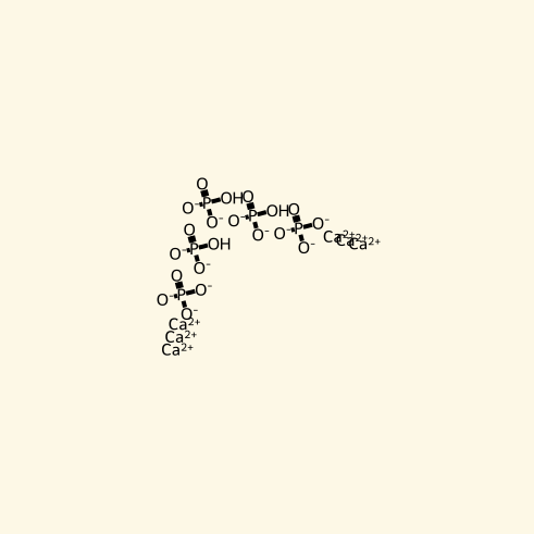 O=P([O-])([O-])O.O=P([O-])([O-])O.O=P([O-])([O-])O.O=P([O-])([O-])[O-].O=P([O-])([O-])[O-].[Ca+2].[Ca+2].[Ca+2].[Ca+2].[Ca+2].[Ca+2]